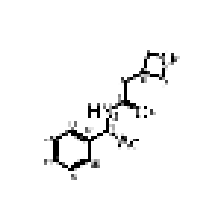 CC(=O)[C@H](NC(=O)CC1COC1)c1ccccc1